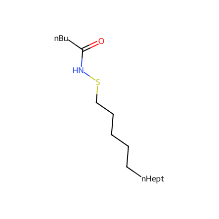 CCCCCCCCCCCCSNC(=O)CCCC